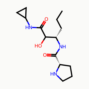 CCC[C@H](NC(=O)[C@@H]1CCCN1)C(O)C(=O)NC1CC1